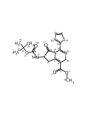 COC(=O)C1=C2CC(NC(=O)OC(C)(C)C)C(=O)N2C(c2nccs2)=NC1